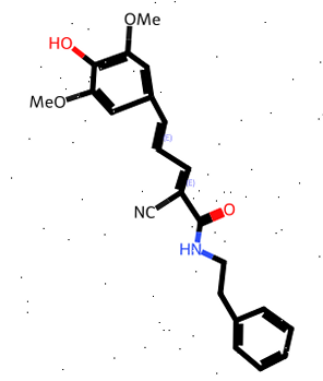 COc1cc(/C=C/C=C(\C#N)C(=O)NCCc2ccccc2)cc(OC)c1O